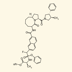 CCCOC(=O)[C@H](C)NP(=O)(Oc1ccccc1)C(F)c1ccc2ccc(C(=O)NC3CCCC[C@H]4CC[C@@H](C(=O)N5C[C@H](c6ccccc6)[C@@H](C)C5)N4C3=O)cc2c1